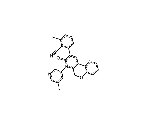 N#Cc1c(F)cccc1-c1cc2c(n(-c3cncc(F)c3)c1=O)COc1cccnc1-2